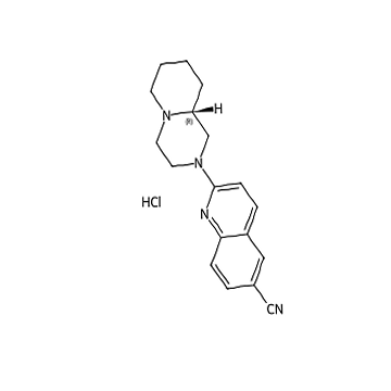 Cl.N#Cc1ccc2nc(N3CCN4CCCC[C@@H]4C3)ccc2c1